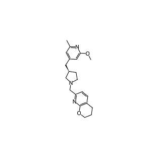 COc1cc(C[C@H]2CCN(Cc3ccc4c(n3)OCCC4)C2)cc(C)n1